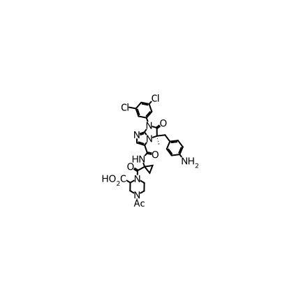 CC(=O)N1CCN(C(=O)C2(NC(=O)c3cnc4n3[C@](C)(Cc3ccc(N)cc3)C(=O)N4c3cc(Cl)cc(Cl)c3)CC2)C(C(=O)O)C1